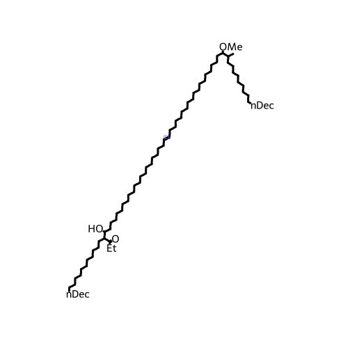 CCCCCCCCCCCCCCCCCCCCCC(C(=O)CC)C(O)CCCCCCCCCCCCCCCCCCC/C=C/CCCCCCCCCCCCCCCCCC(OC)C(C)CCCCCCCCCCCCCCCCCCC